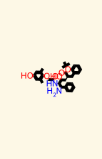 Cc1cc(O)cc(C)c1OCC(=O)N[C@@H](C(N)c1ccccc1)[C@@H](O)C[C@H](Cc1ccccc1)C(=O)OC(C)(C)C